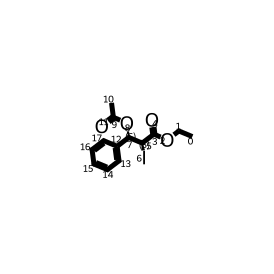 CCOC(=O)[C@@H](I)[C@@H](OC(C)=O)c1ccccc1